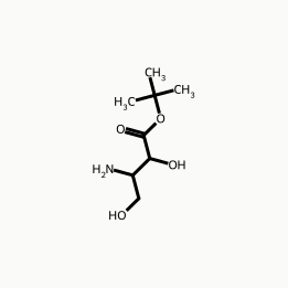 CC(C)(C)OC(=O)C(O)C(N)CO